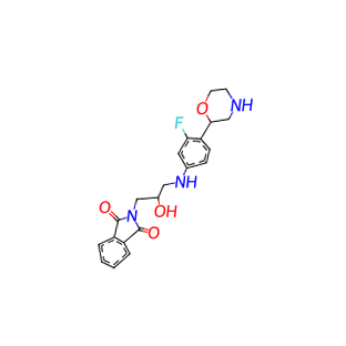 O=C1c2ccccc2C(=O)N1CC(O)CNc1ccc(C2CNCCO2)c(F)c1